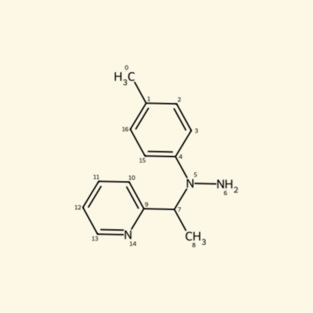 Cc1ccc(N(N)C(C)c2ccccn2)cc1